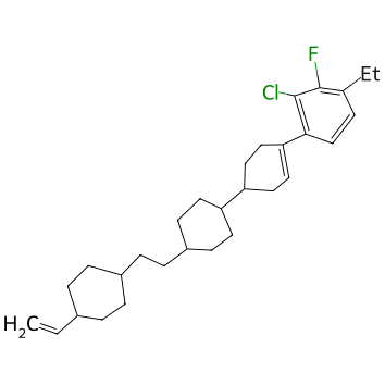 C=CC1CCC(CCC2CCC(C3CC=C(c4ccc(CC)c(F)c4Cl)CC3)CC2)CC1